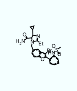 CCC1=NC(C2CC2)C(C(N)=O)N1Cc1ccc2oc(-c3ccccc3NS(C)(=O)=O)c(Br)c2c1